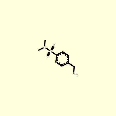 CN(C)S(=O)(=O)c1ccc(CN)cn1